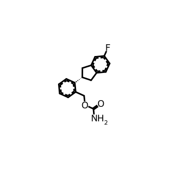 NC(=O)OCc1ccccc1[C@H]1Cc2ccc(F)cc2C1